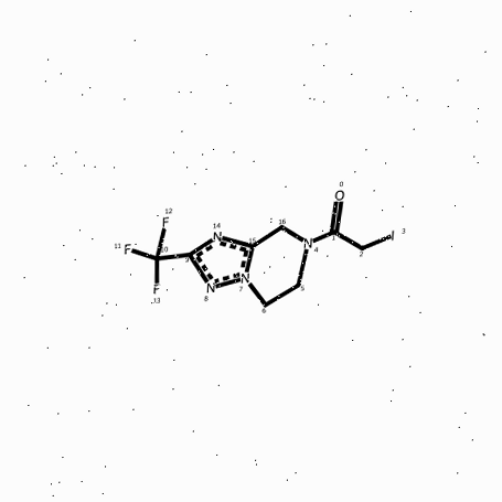 O=C(CI)N1CCn2nc(C(F)(F)F)nc2C1